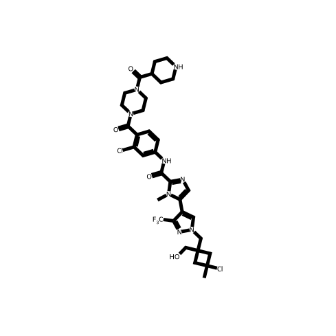 Cn1c(-c2cn(CC3(CO)CC(C)(Cl)C3)nc2C(F)(F)F)cnc1C(=O)Nc1ccc(C(=O)N2CCN(C(=O)C3CCNCC3)CC2)c(Cl)c1